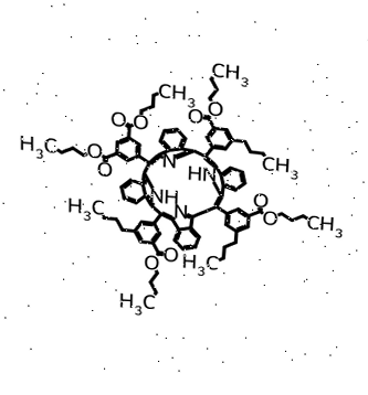 CCCCOC(=O)c1cc(CCCC)cc(-c2c3nc(c(-c4cc(CCCC)cc(C(=O)OCCCC)c4)c4[nH]c(c(-c5cc(C(=O)OCCCC)cc(C(=O)OCCCC)c5)c5nc(c(-c6cc(CCCC)cc(C(=O)OCCCC)c6)c6[nH]c2c2ccccc62)-c2ccccc2-5)c2ccccc42)-c2ccccc2-3)c1